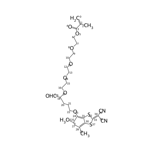 C=C(C)C(=O)OCCOCCOCCOCCOC(C=O)CCCOc1c(C)cc(C)c2c1SC(=C(C#N)C#N)S2